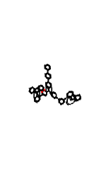 c1ccc(-c2ccc(-c3ccc(N(c4ccc(-c5cccc(-c6cccc7c6oc6ccccc67)c5)cc4)c4ccc(-c5ccccc5-n5c6ccccc6c6ccccc65)cc4)cc3)cc2)cc1